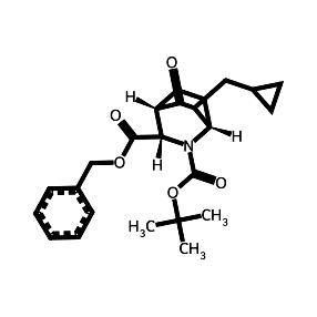 CC(C)(C)OC(=O)N1[C@H](C(=O)OCc2ccccc2)[C@@H]2CC[C@H]1C(CC1CC1)C2=O